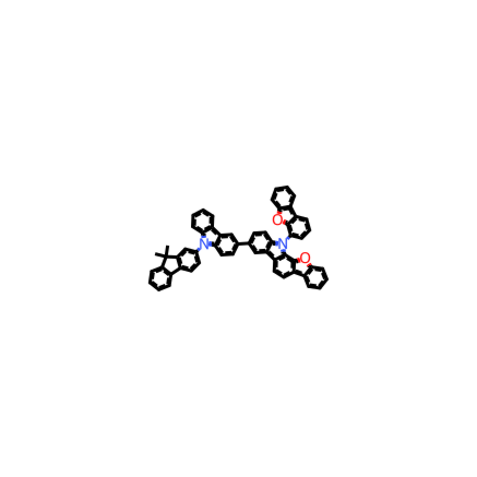 CC1(C)c2ccccc2-c2ccc(-n3c4ccccc4c4cc(-c5ccc6c(c5)c5ccc7c8ccccc8oc7c5n6-c5cccc6c5oc5ccccc56)ccc43)cc21